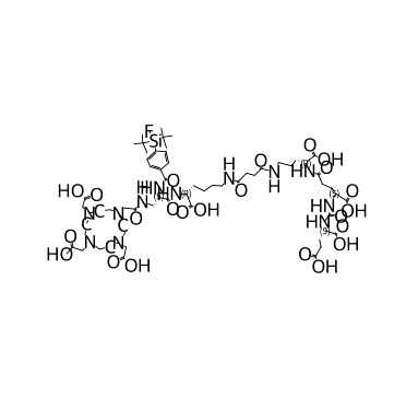 CC(C)(C)[Si](F)(c1ccc(C(=O)N[C@@H](CNC(=O)CN2CCN(CC(=O)O)CCN(CC(=O)O)CCN(CC(=O)O)CC2)C(=O)N[C@H](CCCCNC(=O)CCC(=O)NCCC[C@@H](NC(=O)CC[C@H](NC(=O)N[C@@H](CCC(=O)O)C(=O)O)C(=O)O)C(=O)O)C(=O)O)cc1)C(C)(C)C